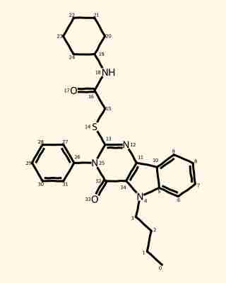 CCCCn1c2ccccc2c2nc(SCC(=O)NC3CCCCC3)n(-c3ccccc3)c(=O)c21